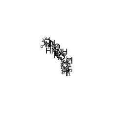 Cc1cccc2nc(C(=O)Nc3nc4cc(-c5ccc(C(F)(F)F)cc5Cl)ccc4[nH]3)cn12